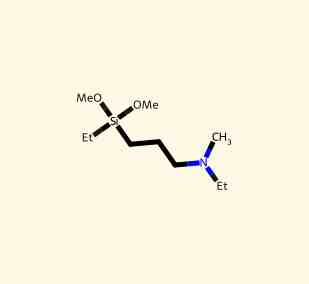 CCN(C)CCC[Si](CC)(OC)OC